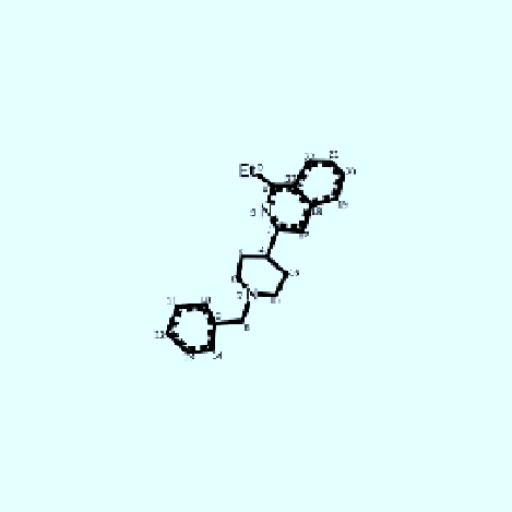 CCc1nc(C2CCN(Cc3ccccc3)CC2)cc2ccccc12